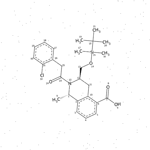 C[C@H]1c2cccc(C(=O)O)c2C[C@H](CO[Si](C)(C)C(C)(C)C)N1C(=O)Cc1ccccc1Cl